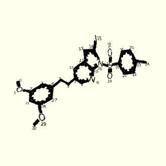 COc1cc(CCc2cnc3c(c2)cc(I)n3S(=O)(=O)c2ccc(C)cc2)cc(OC)c1